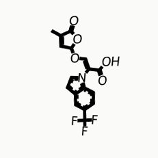 CC1=CC(O/C=C(/C(=O)O)n2ccc3cc(C(F)(F)F)ccc32)OC1=O